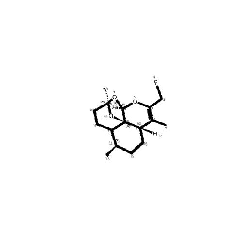 CC1=C(CF)O[C@@H]2O[C@]3(C)CCC4[C@H](C)CC[C@@H]1[C@]42O3